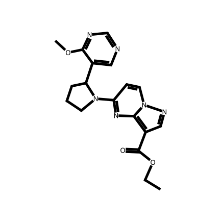 CCOC(=O)c1cnn2ccc(N3CCCC3c3cncnc3OC)nc12